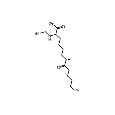 CC(C)CCCCC(=O)NCCCCC(NCC(C)C)C(=O)C(C)C